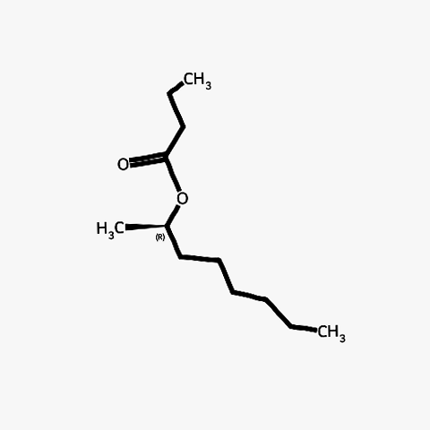 CCCCCC[C@@H](C)OC(=O)CCC